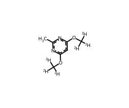 [2H]C([2H])([2H])Oc1cc(OC([2H])([2H])[2H])nc(C)n1